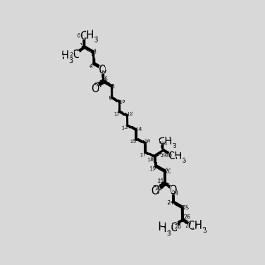 CC(C)CCOC(=O)CCCCCCCCCCC(CCC(=O)OCCC(C)C)C(C)C